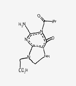 CC(C)C(=O)n1c(N)nc2c(c1=O)NCN2CC(=O)O